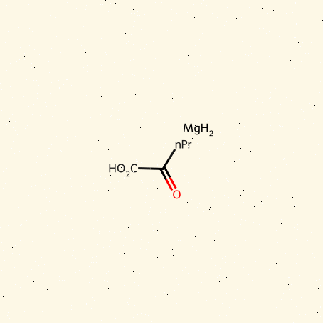 CCCC(=O)C(=O)O.[MgH2]